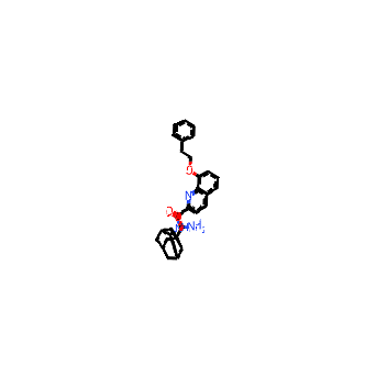 NC(=O)C12CC3CC(C1)C(NC(=O)c1ccc4cccc(OCCc5ccccc5)c4n1)C(C3)C2